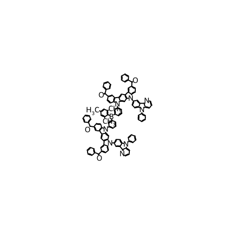 Cc1cc(C)c(B(c2cccc(-n3c4ccc(C(=O)c5ccccc5)cc4c4cc5c6cc(C(=O)c7ccccc7)ccc6n(-c6ccc7c(c6)c6ncccc6n7-c6ccccc6)c5cc43)c2)c2cccc(-n3c4ccc(C(=O)c5ccccc5)cc4c4cc5c6cc(C(=O)c7ccccc7)ccc6n(-c6ccc7c(c6)c6ncccc6n7-c6ccccc6)c5cc43)c2)c(C)c1